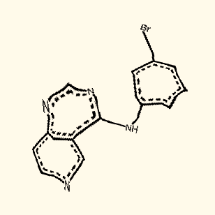 Brc1cccc(Nc2ncnc3ccncc23)c1